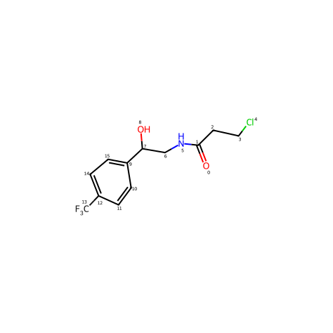 O=C(CCCl)NCC(O)c1ccc(C(F)(F)F)cc1